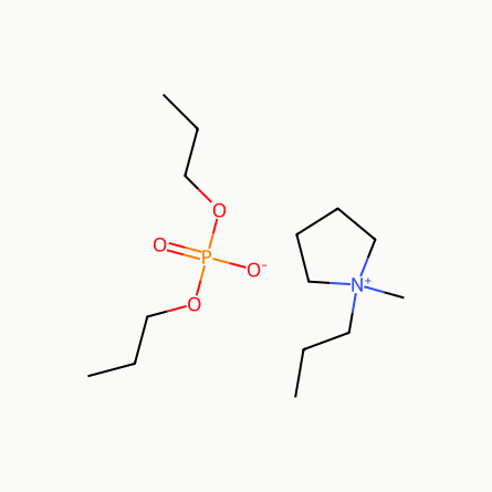 CCCOP(=O)([O-])OCCC.CCC[N+]1(C)CCCC1